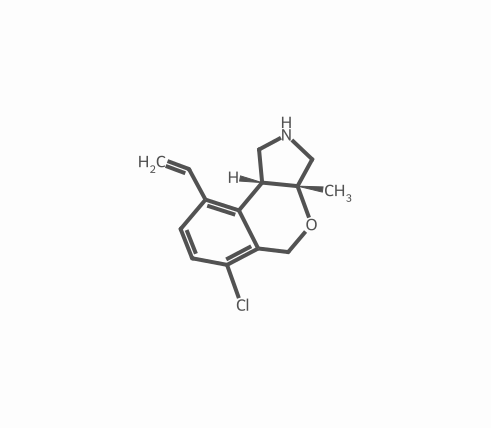 C=Cc1ccc(Cl)c2c1[C@@H]1CNC[C@]1(C)OC2